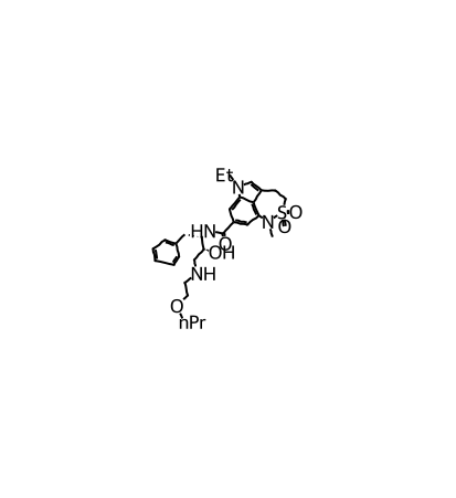 CCCOCCNC[C@@H](O)[C@H](Cc1ccccc1)NC(=O)c1cc2c3c(cn(CC)c3c1)CCS(=O)(=O)N2C